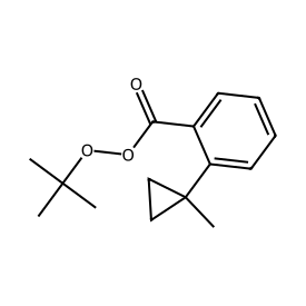 CC(C)(C)OOC(=O)c1ccccc1C1(C)CC1